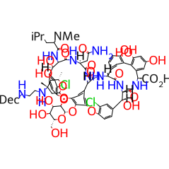 CCCCCCCCCCNCCN[C@@]1(C)C[C@H](O[C@H]2[C@H](Oc3c4cc5cc3Oc3ccc(cc3Cl)[C@@H](O)[C@@H]3NC(=O)[C@H](NC(=O)[C@@H]5NC(=O)[C@H](CC(N)=O)NC(=O)C(NC(=O)[C@@H](CC(C)C)NC)[C@H](O)c5ccc(c(Cl)c5)O4)c4ccc(O)c(c4)-c4c(O)cc(O)cc4[C@@H](C(=O)O)NC3=O)O[C@H](CO)[C@@H](O)[C@@H]2O)O[C@@H](C)[C@H]1O